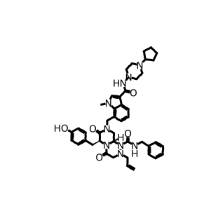 C=CCN1CC(=O)N2[C@@H](Cc3ccc(O)cc3)C(=O)N(Cc3cccc4c(C(=O)NN5CCN(C6CCCC6)CC5)cn(C)c34)C[C@@H]2N1C(=O)NCc1ccccc1